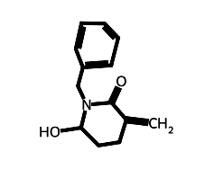 C=C1CCC(O)N(Cc2ccccc2)C1=O